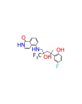 CC(C)(CC(O)(CNc1cccc2c(=O)[nH]ccc12)C(F)(F)F)c1cc(F)ccc1O